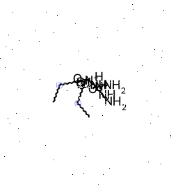 CCCCCCCC/C=C\CCCCCCCC(=O)OCC(C[N+](C)(C)CCNC(=O)C(CCCNCCCN)NCCCN)OC(=O)CCCCCCC/C=C\CCCCCCCC